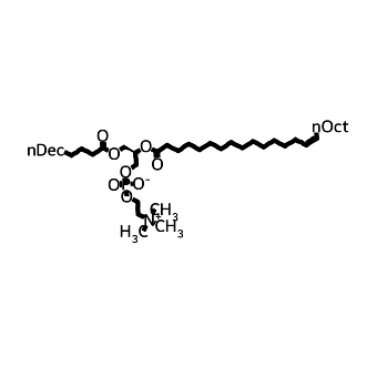 CCCCCCCC/C=C\CCCCCCCCCCCCCC(=O)O[C@H](COC(=O)CCCCCCCCCCCCC)COP(=O)([O-])OCC[N+](C)(C)C